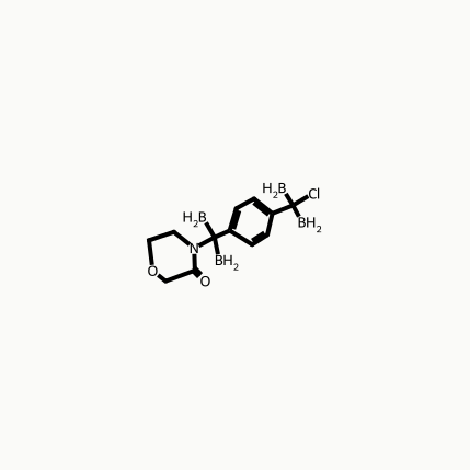 BC(B)(Cl)c1ccc(C(B)(B)N2CCOCC2=O)cc1